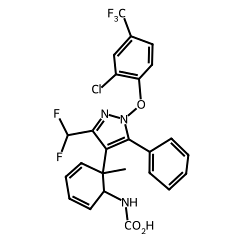 CC1(c2c(C(F)F)nn(Oc3ccc(C(F)(F)F)cc3Cl)c2-c2ccccc2)C=CC=CC1NC(=O)O